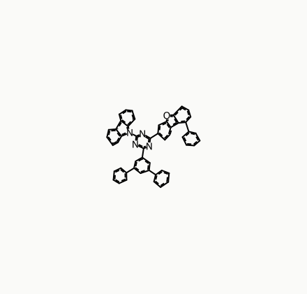 c1ccc(-c2cc(-c3ccccc3)cc(-c3nc(-c4ccc5c(c4)oc4cccc(-c6ccccc6)c45)nc(-n4c5ccccc5c5ccccc54)n3)c2)cc1